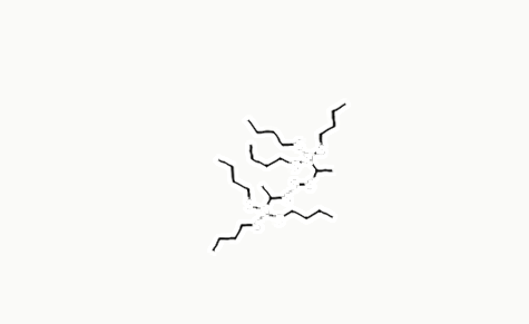 CCCCS[Si](SCCCC)(SCCCC)C(C)SSSC(C)[Si](SCCCC)(SCCCC)SCCCC